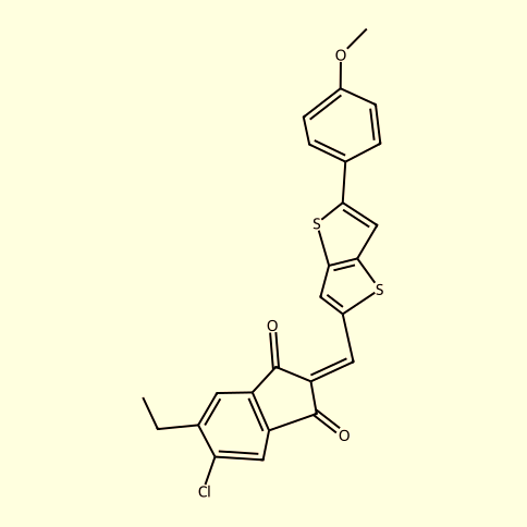 CCc1cc2c(cc1Cl)C(=O)/C(=C/c1cc3sc(-c4ccc(OC)cc4)cc3s1)C2=O